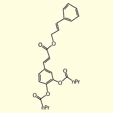 CCCC(=O)Oc1ccc(/C=C/C(=O)OC/C=C/c2ccccc2)cc1OC(=O)CCC